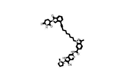 Cc1nn(CCCCCCCC#Cc2cccc3c2CN(C2CCC(=O)NC2=O)C3=O)c2cc(C(=O)Nc3cc4[nH]c([C@H]5CCCN5C)c(C#N)c4cn3)ccc12